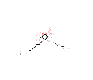 CCCCCCCCCc1c(CCCCCCCCC)c(C(=O)O)c(O)c(OOC)c1OC